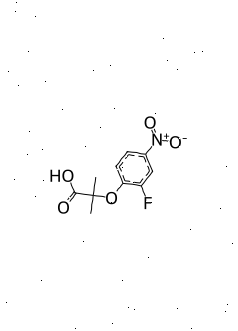 CC(C)(Oc1ccc([N+](=O)[O-])cc1F)C(=O)O